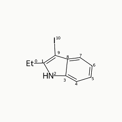 CCc1[nH]c2ccccc2c1I